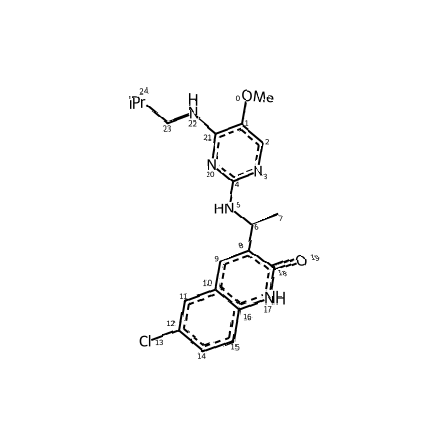 COc1cnc(NC(C)c2cc3cc(Cl)ccc3[nH]c2=O)nc1NCC(C)C